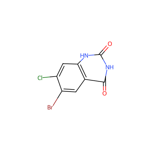 O=c1[nH]c(=O)c2cc(Br)c(Cl)cc2[nH]1